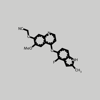 COc1cc2c(Oc3ccc4[nH]c(C)cc4c3F)ccnc2cc1OCC#N